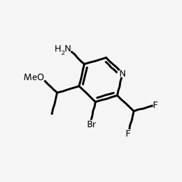 COC(C)c1c(N)cnc(C(F)F)c1Br